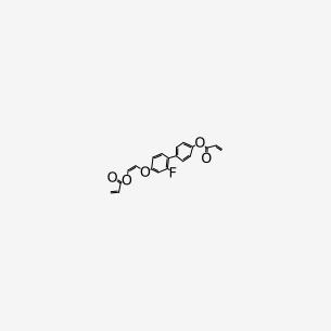 C=CC(=O)O/C=C\Oc1ccc(-c2ccc(OC(=O)C=C)cc2)c(F)c1